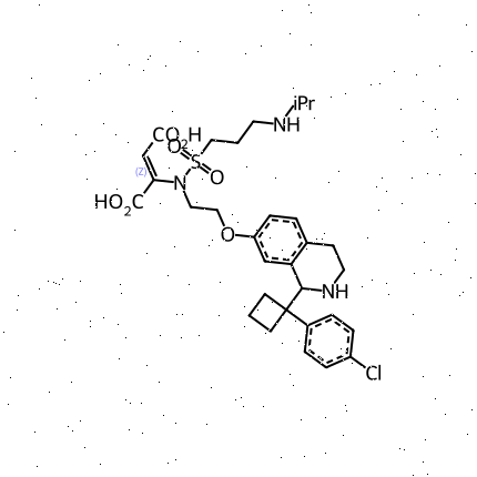 CC(C)NCCCS(=O)(=O)N(CCOc1ccc2c(c1)C(C1(c3ccc(Cl)cc3)CCC1)NCC2)/C(=C\C(=O)O)C(=O)O